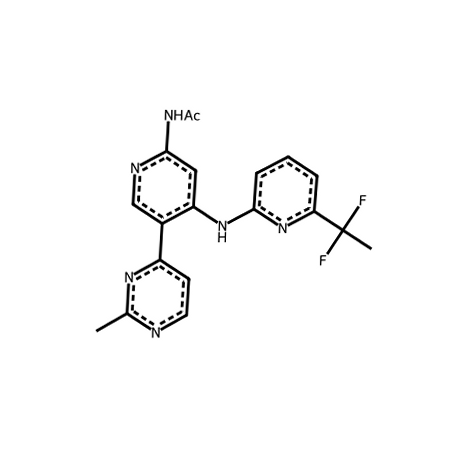 CC(=O)Nc1cc(Nc2cccc(C(C)(F)F)n2)c(-c2ccnc(C)n2)cn1